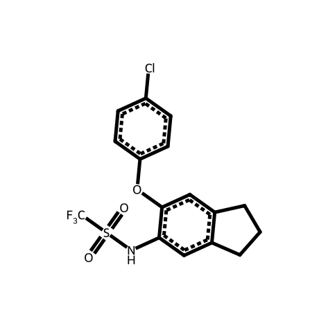 O=S(=O)(Nc1cc2c(cc1Oc1ccc(Cl)cc1)CCC2)C(F)(F)F